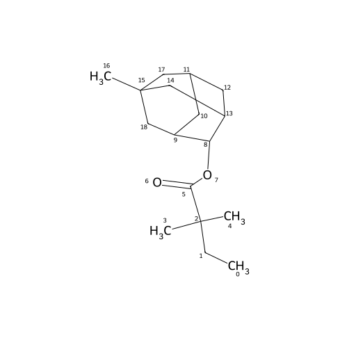 CCC(C)(C)C(=O)OC1C2CC3CC1CC(C)(C3)C2